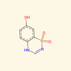 O=S1(=O)N=[C]Nc2ccc(O)cc21